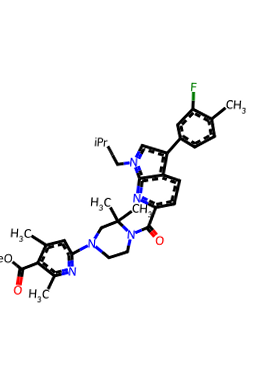 COC(=O)c1c(C)cc(N2CCN(C(=O)c3ccc4c(-c5ccc(C)c(F)c5)cn(CC(C)C)c4n3)C(C)(C)C2)nc1C